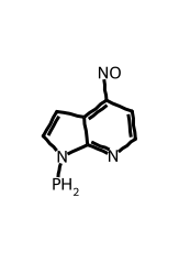 O=Nc1ccnc2c1ccn2P